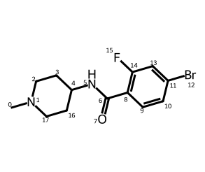 CN1CCC(NC(=O)c2ccc(Br)cc2F)CC1